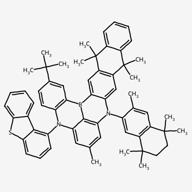 Cc1cc2c3c(c1)N(c1cccc4sc5ccccc5c14)c1ccc(C(C)(C)C)cc1B3c1cc3c(cc1N2c1cc2c(cc1C)C(C)(C)CCC2(C)C)C(C)(C)c1ccccc1C3(C)C